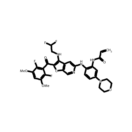 C=CC(=O)Nc1cc(N2CCOCC2)ccc1Nc1cc2c(NCC(F)F)c(C(=O)c3c(F)c(OC)cc(OC)c3F)oc2cn1